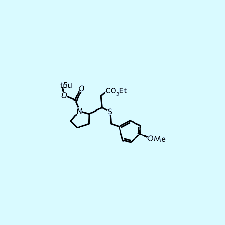 CCOC(=O)CC(SCc1ccc(OC)cc1)C1CCCN1C(=O)OC(C)(C)C